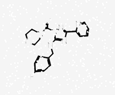 O=C(N1CCOCC1)n1nc(-c2ccccn2)nc1NCc1ccc(F)cc1